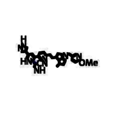 COc1ccc(CN2C3CC(C)C4C(CCc5ccc(C6=CC(c7cn[nH]c7)=CN/C6=C(/C#N)C=N)cn5)CC2C43)cn1